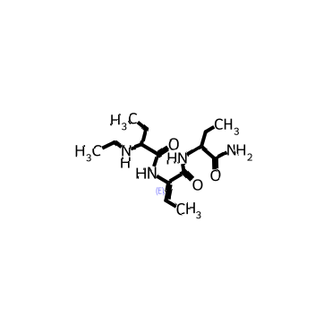 C/C=C(/NC(=O)C(CC)NCC)C(=O)NC(CC)C(N)=O